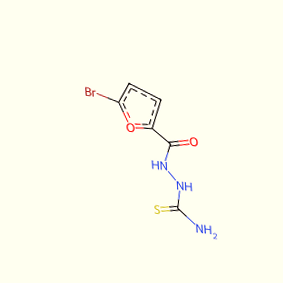 NC(=S)NNC(=O)c1ccc(Br)o1